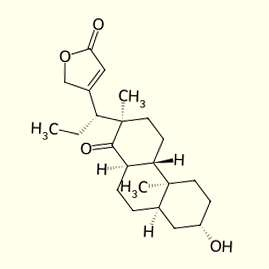 CC[C@H](C1=CC(=O)OC1)[C@@]1(C)CC[C@H]2[C@@H](CC[C@@H]3C[C@@H](O)CC[C@@]32C)C1=O